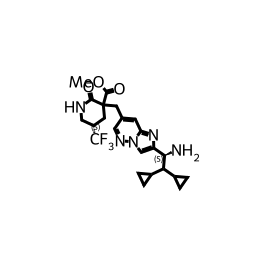 COC(=O)C1(Cc2cnn3cc([C@@H](N)C(C4CC4)C4CC4)nc3c2)C[C@H](C(F)(F)F)CNC1=O